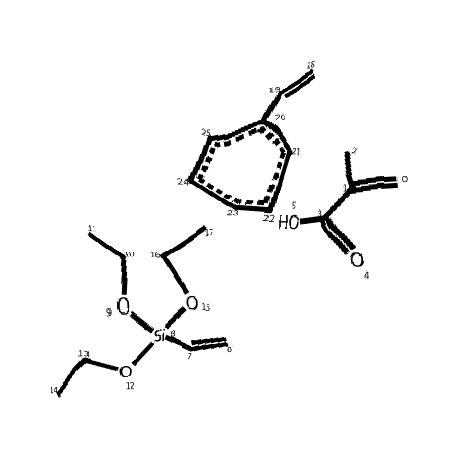 C=C(C)C(=O)O.C=C[Si](OCC)(OCC)OCC.C=Cc1ccccc1